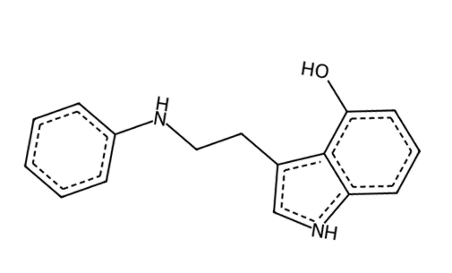 Oc1cccc2[nH]cc(CCNc3ccccc3)c12